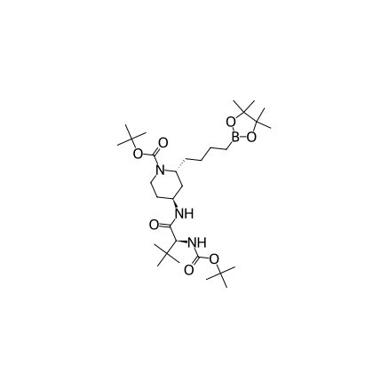 CC(C)(C)OC(=O)N[C@H](C(=O)N[C@H]1CCN(C(=O)OC(C)(C)C)[C@H](CCCCB2OC(C)(C)C(C)(C)O2)C1)C(C)(C)C